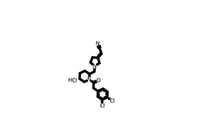 Cl.N#CC=C1CCN(CC2CCCCN2C(=O)Cc2ccc(Cl)c(Cl)c2)C1